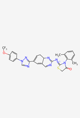 Cc1cccc(C)c1N1C(=O)CS/C1=N\C1=NC2CC=C(c3ncn(-c4ccc(OC(F)(F)F)cc4)n3)C=C2C=N1